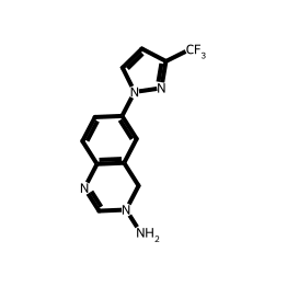 NN1C=Nc2ccc(-n3ccc(C(F)(F)F)n3)cc2C1